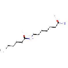 CCCCCC(=O)NCCCCCCC([NH])=O